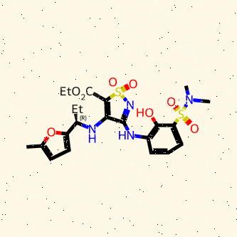 CCOC(=O)C1=C(N[C@H](CC)c2ccc(C)o2)C(Nc2cccc(S(=O)(=O)N(C)C)c2O)=NS1(=O)=O